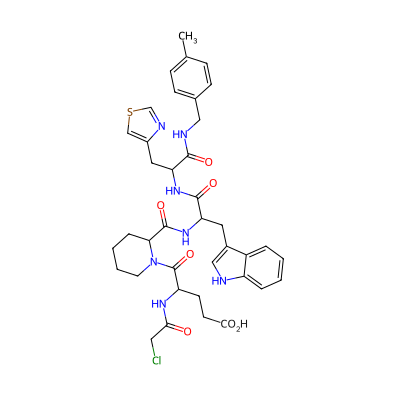 Cc1ccc(CNC(=O)C(Cc2cscn2)NC(=O)C(Cc2c[nH]c3ccccc23)NC(=O)C2CCCCN2C(=O)C(CCC(=O)O)NC(=O)CCl)cc1